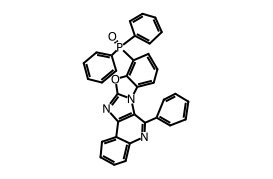 O=P(c1ccccc1)(c1ccccc1)c1cccc2c1oc1nc3c4ccccc4nc(-c4ccccc4)c3n12